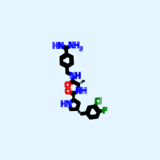 C[C@H](NC(=O)[C@H]1C[C@H](Cc2ccc(F)c(Cl)c2)CN1)C(=O)NCc1ccc(C(=N)N)cc1